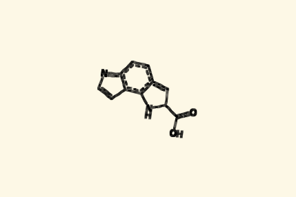 O=C(O)C1C=c2ccc3c(c2N1)C=CN=3